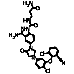 N#Cc1cccc(Cl)c1Oc1cc([C@H]2CC(=O)N(c3ccc4c(c3)c(N)nn4C(=O)NCCC(N)=O)C2)ccc1Cl